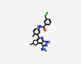 Cc1ccc(NC(=O)c2cccc(CF)c2)cc1-c1nc2[nH]nc(N)c2c2c1CC(C)C2